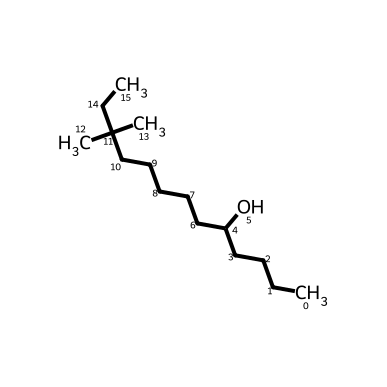 CCCCC(O)CCCCCC(C)(C)CC